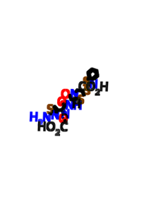 Nc1nc(C(=NOCC(=O)O)C(=O)NC2C(=O)N3CC(Sc4nc5ccccc5s4)(C(=O)O)CS[C@H]23)cs1